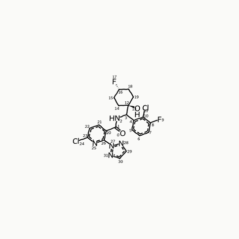 O=C(NC(c1cccc(F)c1Cl)[C@]1(O)CC[C@H](F)CC1)c1ccc(Cl)nc1-n1nccn1